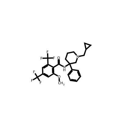 COc1cc(C(F)(F)F)cc(C(F)(F)F)c1C(=O)NC1(c2ccccc2)CCCN(CC2CC2)C1